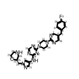 Fc1ccc(Cc2cnc(N3CCN(c4ncnc(Nc5cnn(C[C@@H]6CNCCO6)c5)n4)CC3)nc2)cc1